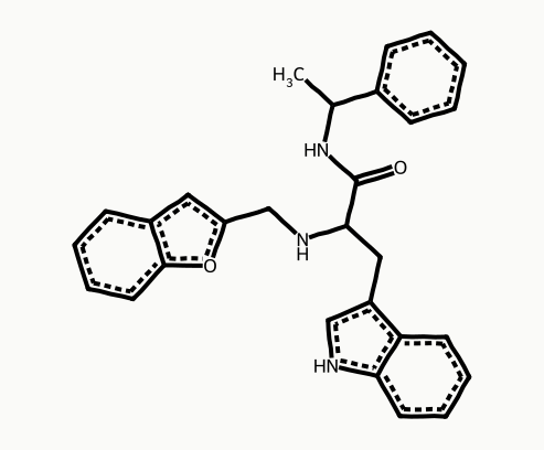 CC(NC(=O)C(Cc1c[nH]c2ccccc12)NCc1cc2ccccc2o1)c1ccccc1